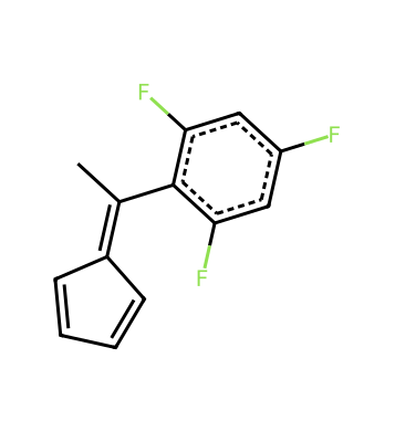 CC(=C1C=CC=C1)c1c(F)cc(F)cc1F